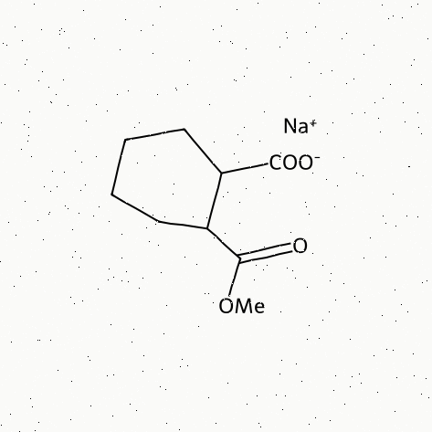 COC(=O)C1CCCCC1C(=O)[O-].[Na+]